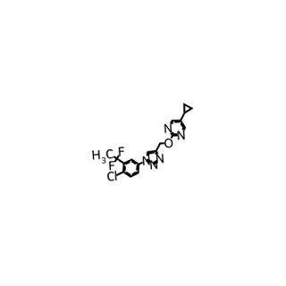 CC(F)(F)c1cc(-n2cc(COc3ncc(C4CC4)cn3)nn2)ccc1Cl